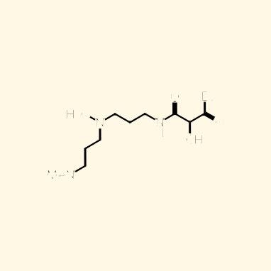 CCC(=O)C(C)C(=O)NCCCN(C)CCCNC